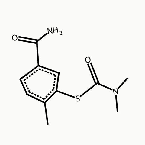 Cc1ccc(C(N)=O)cc1SC(=O)N(C)C